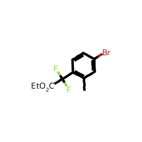 CCOC(=O)C(F)(F)c1ccc(Br)cc1C